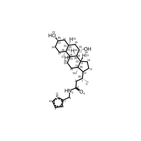 C[C@H](CC(=O)NCc1cccs1)C1CC[C@H]2[C@@H]3[C@@H](O)C[C@@H]4C[C@H](O)CC[C@]4(C)[C@H]3CC[C@]12C